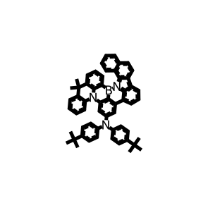 CC(C)(C)c1ccc(N(c2ccc(C(C)(C)C)cc2)c2cc3c4c(c2)N2c5ccccc5C(C)(C)c5cccc(c52)B4n2c4c-3cccc4c3ccc4ccccc4c32)cc1